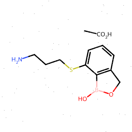 CC(=O)O.NCCCSc1cccc2c1B(O)OC2